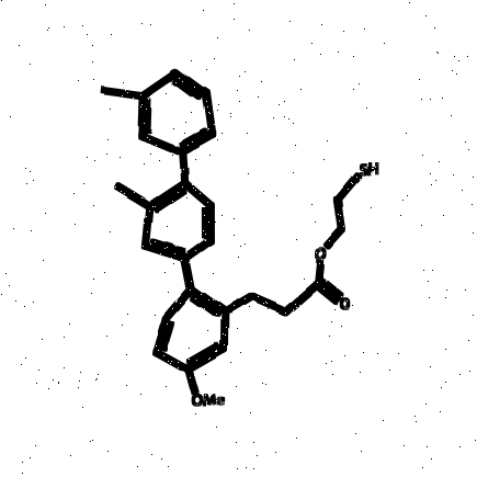 COc1ccc(-c2ccc(-c3cccc(C)c3)c(C)c2)c(CCC(=O)OCCS)c1